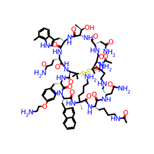 CC(=O)NCCCC[C@H](NC(=O)[C@](C)(CCCCN)NC(=O)[C@H](Cc1ccc2ccccc2c1)NC(=O)[C@H](Cc1ccc(OCCN)cc1)NC(=O)[C@H]1NC(=O)[C@H](CCC(N)=O)NC(=O)[C@H](Cc2c[nH]c3c(C)cccc23)NC(=O)[C@H]([C@@H](C)O)NC(=O)[C@H](CC(N)=O)NC(=O)[C@@H](NC(C)=O)C(C)(C)SSC1(C)C)C(=O)N[C@H](CNCCC(N)=O)CC(N)=O